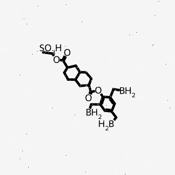 BCc1cc(CB)c(OC(=O)C2CCC3CC(C(=O)OCCS(=O)(=O)O)CCC3C2)c(CB)c1